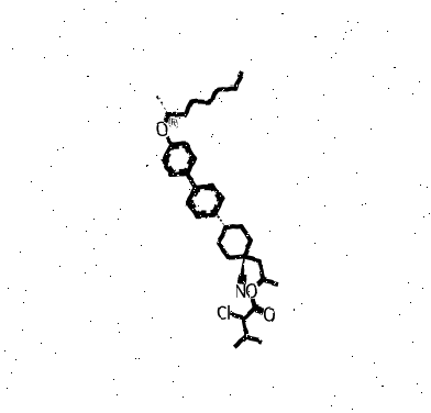 CCCCCC[C@@H](C)Oc1ccc(-c2ccc([C@H]3CC[C@@](C#N)(CC(C)OC(=O)C(Cl)C(C)C)CC3)cc2)cc1